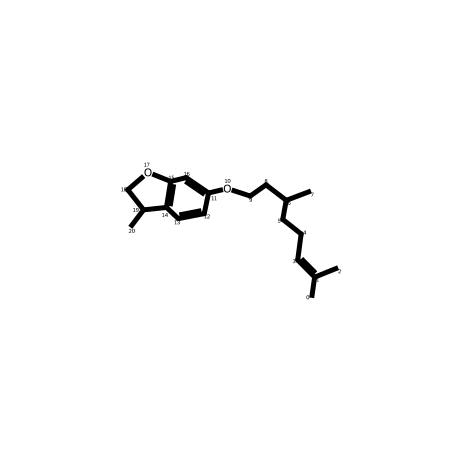 CC(C)=CCCC(C)CCOc1ccc2c(c1)OCC2C